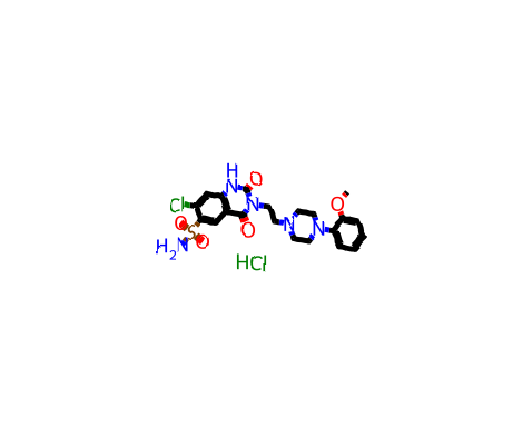 COc1ccccc1N1CCN(CCn2c(=O)[nH]c3cc(Cl)c(S(N)(=O)=O)cc3c2=O)CC1.Cl